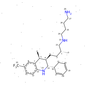 C[C@H](CC[C@@H]1[C@H](C)c2cc(C(F)(F)F)ccc2N[C@H]1C1C=CC=CC1)CNCCCCN